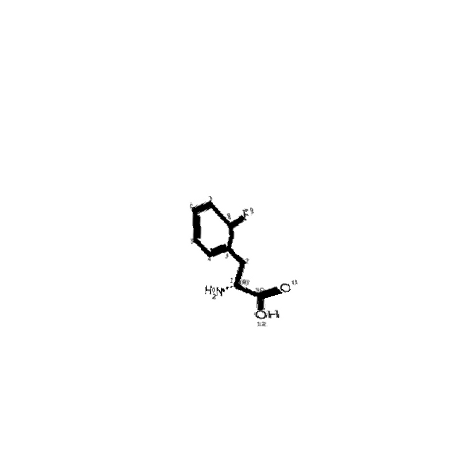 N[C@H](CC1=CC=CCC1F)C(=O)O